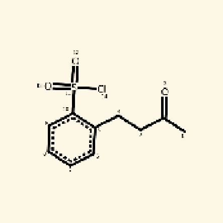 CC(=O)CCc1ccccc1S(=O)(=O)Cl